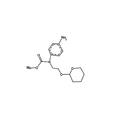 CC(C)(C)OC(=O)N(CCOC1CCCCO1)c1ccc(N)cc1